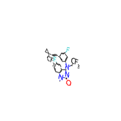 Cn1c(=O)nc(N(CC(F)(F)F)c2cc(F)cc(C#CC3(C(F)(F)F)CC3)c2)c2cc(F)ccc21